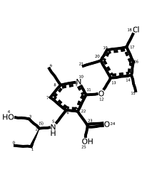 CC[C@@H](CO)Nc1cc(C)nc(Oc2c(C)cc(Cl)cc2C)c1C(=O)O